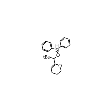 CC(C)(C)C(O[SiH](c1ccccc1)c1ccccc1)C1=CCCCO1